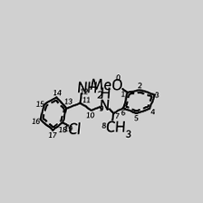 COc1ccccc1C(C)NCC(N)c1ccccc1Cl